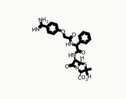 CC1(C)S[C@@H]2[C@H](NC(=O)C(NC(=O)COc3ccc(C(=N)N)cc3)c3ccccc3)C(=O)N2[C@H]1C(=O)O